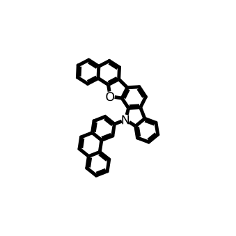 c1ccc2c(c1)ccc1ccc(-n3c4ccccc4c4ccc5c6ccc7ccccc7c6oc5c43)cc12